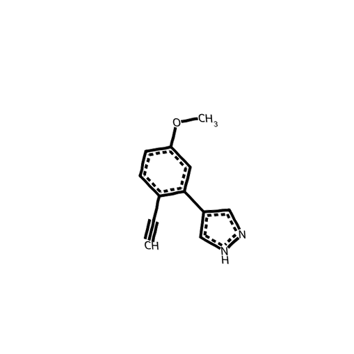 C#Cc1ccc(OC)cc1-c1cn[nH]c1